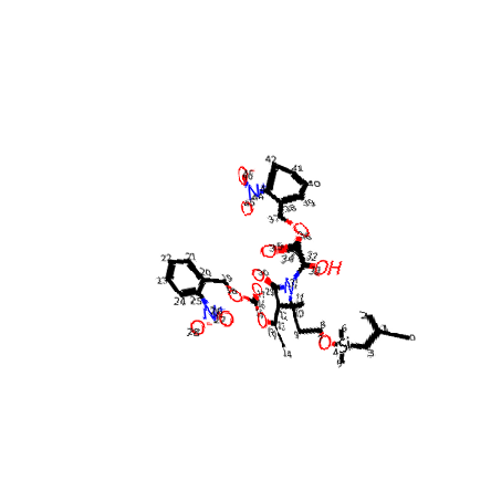 CC(C)C[Si](C)(C)OCCC1(C)C([C@@H](C)OC(=O)OCc2ccccc2[N+](=O)[O-])C(=O)N1C(O)C(=O)OCc1ccccc1[N+](=O)[O-]